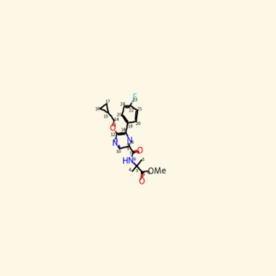 COC(=O)C(C)(C)NC(=O)c1cnc(OCC2CC2)c(-c2ccc(F)cc2)n1